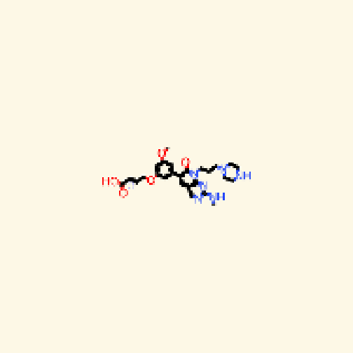 CNc1ncc2cc(-c3cc(OC)cc(OC/C=C/C(=O)O)c3)c(=O)n(CCCN3CCNCC3)c2n1